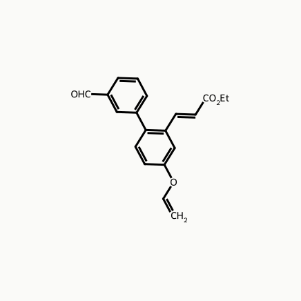 C=COc1ccc(-c2cccc(C=O)c2)c(/C=C/C(=O)OCC)c1